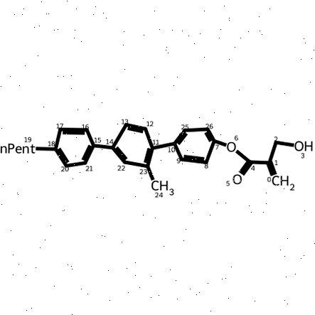 C=C(CO)C(=O)Oc1ccc(-c2ccc(-c3ccc(CCCCC)cc3)cc2C)cc1